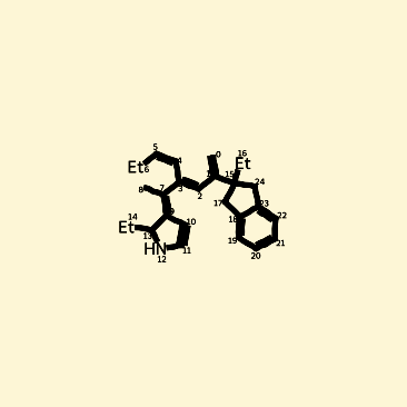 C=C(/C=C(\C=C/CC)C(/C)=C1\C#CNC1CC)C1(CC)Cc2ccccc2C1